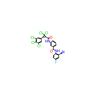 N#Cc1cc(F)ccc1NC(=O)c1cccc(NC(=O)C2C(c3cc(Cl)c(Cl)c(Cl)c3)C2(Cl)Cl)c1